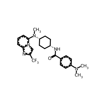 CN(C)c1ccc(C(=O)N[C@H]2CC[C@@H](N(C)c3cccc4nc(C(F)(F)F)cn34)CC2)cc1